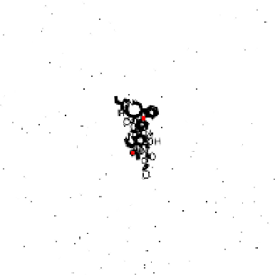 CCC1=C[C@@H]2CN(CCc3c([nH]c4ccccc34)[C@@](C(=O)OC)(c3cc4c(cc3OC)N(C)[C@H]3C(O)(CNC(=O)OCCOC)[C@H](OC(C)=O)[C@]5(CC)C=CCN6CC[C@]43[C@@H]65)C2)C1